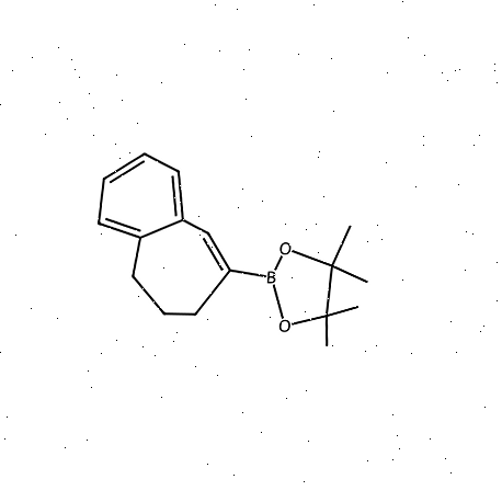 CC1(C)OB(C2=Cc3ccccc3CCC2)OC1(C)C